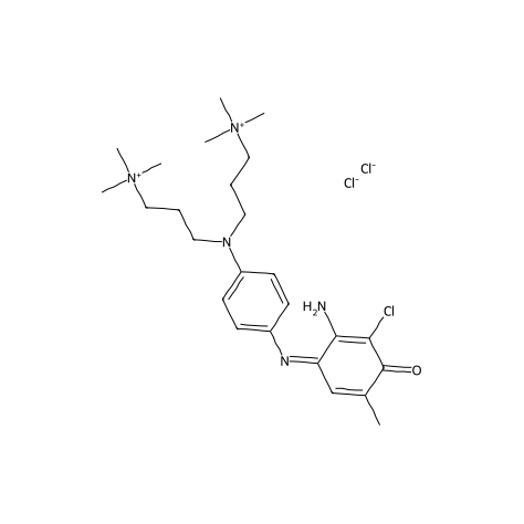 CC1=C/C(=N/c2ccc(N(CCC[N+](C)(C)C)CCC[N+](C)(C)C)cc2)C(N)=C(Cl)C1=O.[Cl-].[Cl-]